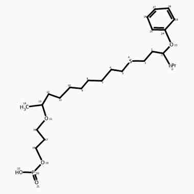 CCCC(CCSCCCCCCCCC(C)OCCCO[P](=O)O)Oc1ccccc1